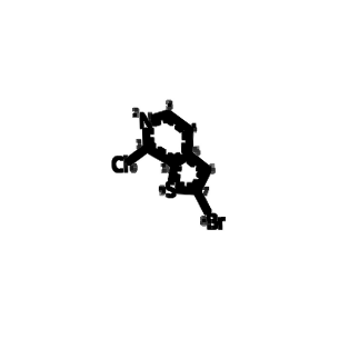 Clc1nccc2cc(Br)sc12